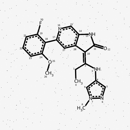 CC/C(Nc1cnn(C)c1)=C1/C(=O)Nc2cnc(-c3c(F)cccc3OC)cc21